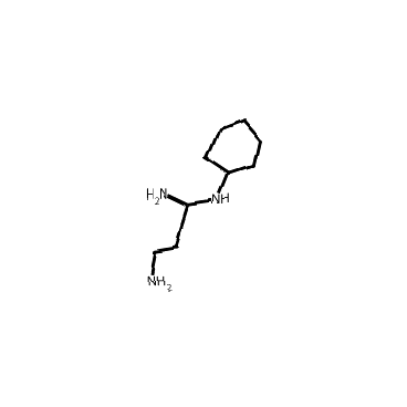 NCCC(N)NC1CCCCC1